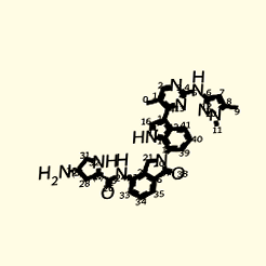 Cc1cnc(Nc2cc(C)n(C)n2)nc1-c1c[nH]c2c(N3Cc4c(NC(=O)[C@H]5C[C@H](N)CN5)cccc4C3=O)cccc12